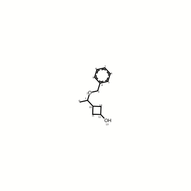 CC(OCc1ccccc1)C1CC(O)C1